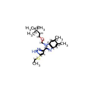 CCSc1cc(-c2nc3cc(C)c(C)cc3n2COCC[Si](C)(C)C)n[nH]1